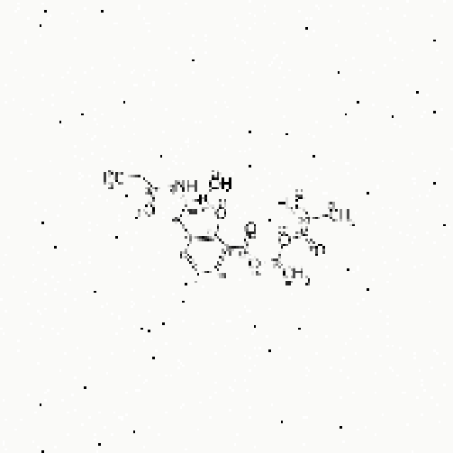 CCC(=O)N[C@H]1Cc2cccc(C(=O)OC(C)OC(=O)C(C)C)c2OB1O